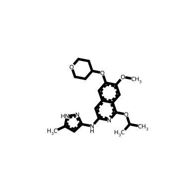 COc1cc2c(OC(C)C)nc(Nc3cc(C)[nH]n3)cc2cc1OC1CCOCC1